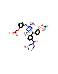 CCN(CC)C(=O)c1cccc(C(c2cccc(OS(=O)(=O)C(F)(F)F)c2)N2C[C@@H](C)N(Cc3cccc(OCC(=O)O)c3)C[C@@H]2C)c1